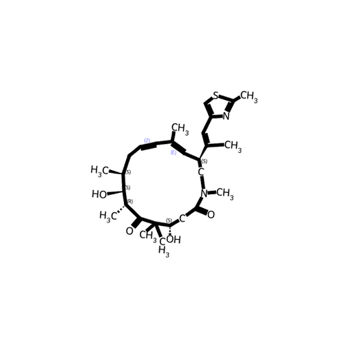 CC(=Cc1csc(C)n1)[C@@H]1/C=C(C)/C=C\C[C@H](C)[C@H](O)[C@@H](C)C(=O)C(C)(C)[C@@H](O)CC(=O)N(C)C1